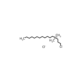 CCCCCCCCCCCC[N+](C)(C)CCCCl.[Cl-]